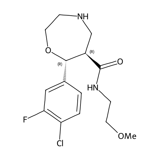 COCCNC(=O)[C@@H]1CNCCO[C@H]1c1ccc(Cl)c(F)c1